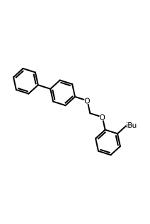 CCC(C)c1ccccc1OCOc1ccc(-c2ccccc2)cc1